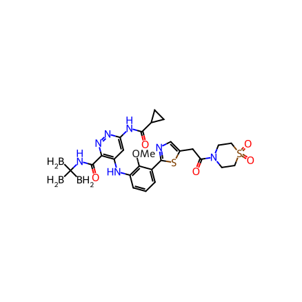 BC(B)(B)NC(=O)c1nnc(NC(=O)C2CC2)cc1Nc1cccc(-c2ncc(CC(=O)N3CCS(=O)(=O)CC3)s2)c1OC